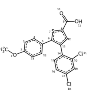 COc1ccc(-c2sc(C(=O)O)cc2-c2ccc(Cl)cc2Cl)cc1